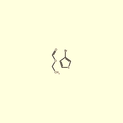 Brc1ccsc1.CCOC=O